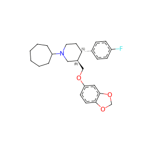 Fc1ccc([C@H]2CCN(C3CCCCCC3)C[C@@H]2COc2ccc3c(c2)OCO3)cc1